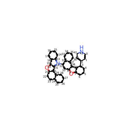 C1=CC(c2cccc3oc4cc(-n5c6ccccc6c6oc7ccc8ccccc8c7c65)c5ccccc5c4c23)=CCN1